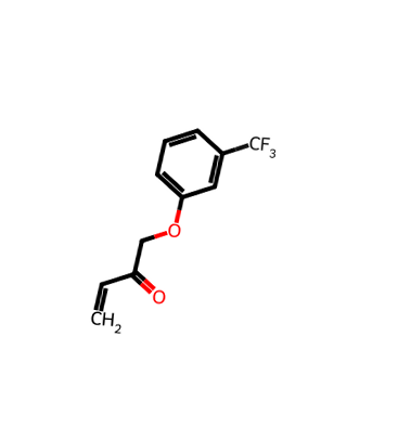 C=CC(=O)COc1cccc(C(F)(F)F)c1